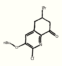 CCCCOc1cc2c(nc1Cl)C(=O)CC(C(C)C)C2